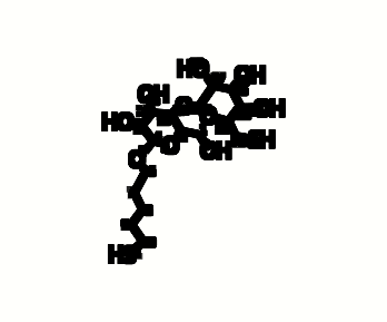 OCC1O[C@@H](OCCCCCS)C(O)C(O)[C@H]1O[C@@H]1OC(CS)[C@H](O)C(O)C1O